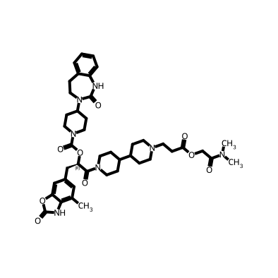 Cc1cc(C[C@@H](OC(=O)N2CCC(N3CCc4ccccc4NC3=O)CC2)C(=O)N2CCC(C3CCN(CCC(=O)OCC(=O)N(C)C)CC3)CC2)cc2oc(=O)[nH]c12